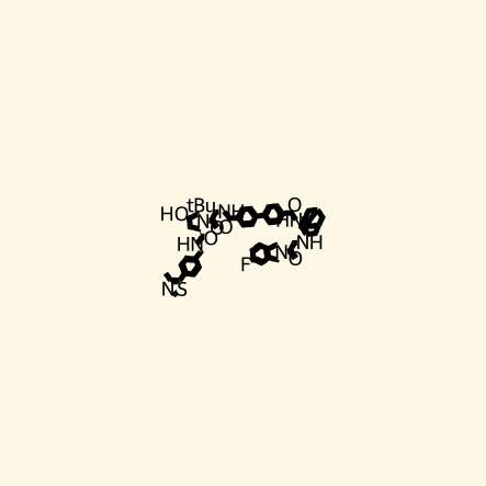 Cc1ncsc1-c1ccc(CNC(=O)[C@@H]2C[C@@H](O)CN2C(=O)[C@@H](NC(=O)c2ccc(-c3ccc(C(=O)NC45CC6CC(CC(NCC(=O)N7Cc8ccc(F)cc8C7)(C6)C4)C5)cc3)cc2)C(C)(C)C)cc1